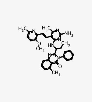 CCC(Nc1nc(N)nc(C)c1/C=C/c1nc(C)ccc1OC)c1nc2cccc(C)c2c(=O)n1-c1ccccc1